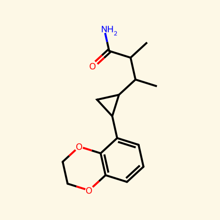 CC(C(N)=O)C(C)C1CC1c1cccc2c1OCCO2